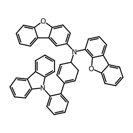 C1=CC(N(c2ccc3oc4ccccc4c3c2)c2cccc3c2oc2ccccc23)CC=C1c1ccccc1-n1c2ccccc2c2ccccc21